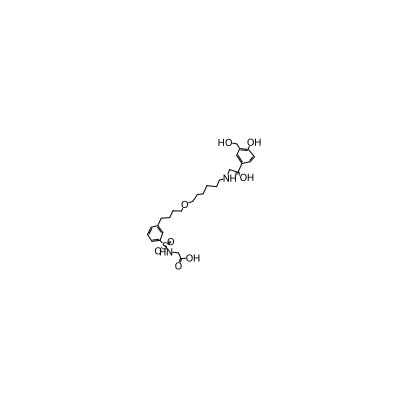 O=C(O)CNS(=O)(=O)c1cccc(CCCCOCCCCCCNC[C@H](O)c2ccc(O)c(CO)c2)c1